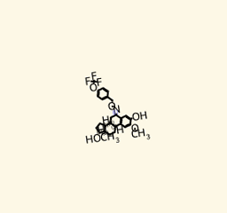 COc1cc2c(cc1O)/C(=N/OCc1ccc(OC(F)(F)F)cc1)C[C@@H]1[C@@H]2CC[C@]2(C)[C@@H](O)CC[C@@H]12